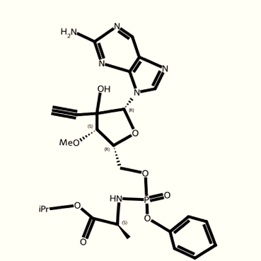 C#CC1(O)[C@@H](OC)[C@@H](COP(=O)(N[C@@H](C)C(=O)OC(C)C)Oc2ccccc2)O[C@H]1n1cnc2cnc(N)nc21